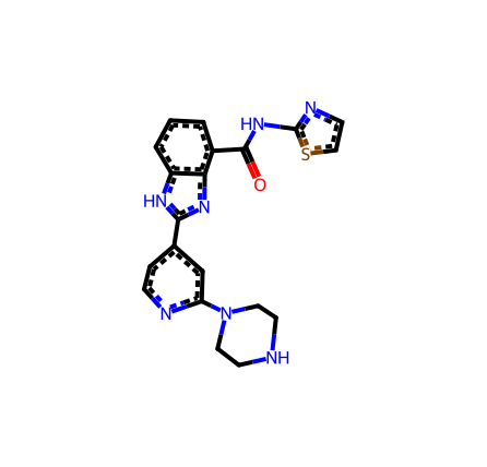 O=C(Nc1nccs1)c1cccc2[nH]c(-c3ccnc(N4CCNCC4)c3)nc12